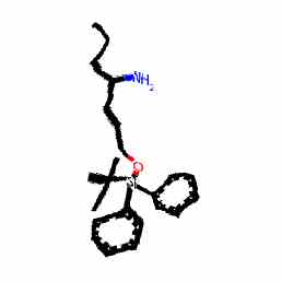 CCCC(N)CCCO[Si](c1ccccc1)(c1ccccc1)C(C)(C)C